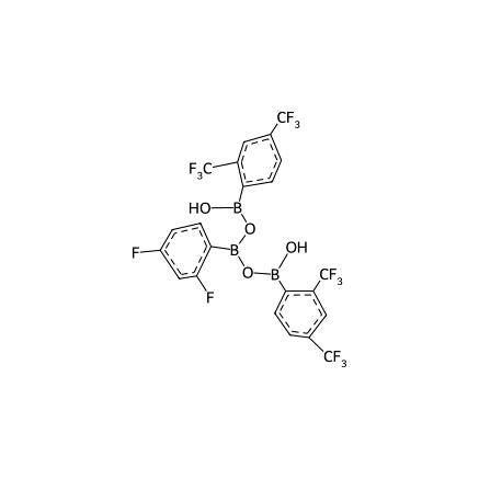 OB(OB(OB(O)c1ccc(C(F)(F)F)cc1C(F)(F)F)c1ccc(F)cc1F)c1ccc(C(F)(F)F)cc1C(F)(F)F